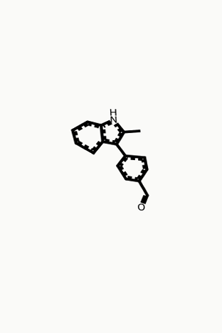 Cc1[nH]c2ccccc2c1-c1ccc(C=O)cc1